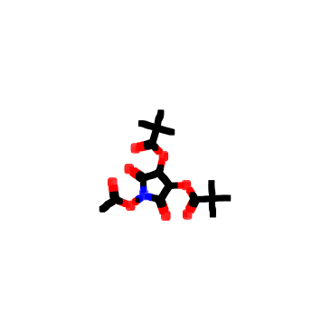 CC(=O)ON1C(=O)C(OC(=O)C(C)(C)C)C(OC(=O)C(C)(C)C)C1=O